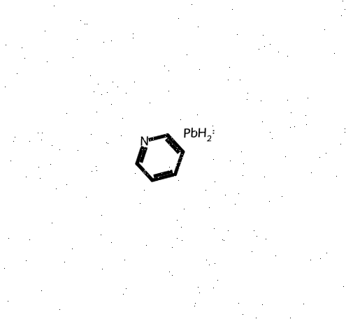 [PbH2].c1ccncc1